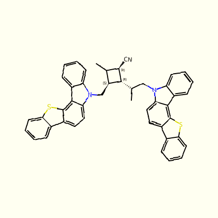 CC(Cn1c2ccccc2c2c3sc4ccccc4c3ccc21)[C@H]1[C@H](C#N)C(C)[C@@H]1Cn1c2ccccc2c2c3sc4ccccc4c3ccc21